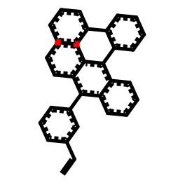 C=Cc1cccc(-c2c3ccccc3c(-c3ccccc3-c3ccccc3)c3ccccc23)c1